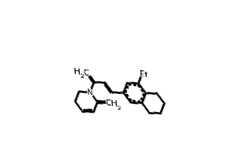 C=C1C=CCCN1C(=C)/C=C/c1cc(CC)c2c(c1)CCCC2